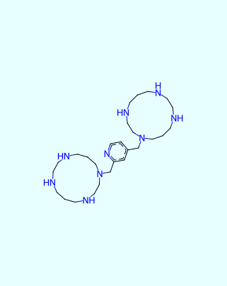 c1cc(CN2CCCNCCNCCCNCC2)cc(CN2CCCNCCNCCCNCC2)n1